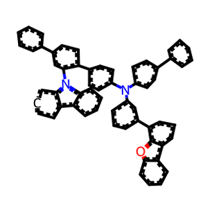 c1ccc(-c2ccc(N(c3ccc(-c4ccc(-c5ccccc5)cc4-n4c5ccccc5c5ccccc54)cc3)c3cccc(-c4cccc5c4oc4ccccc45)c3)cc2)cc1